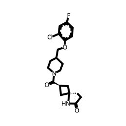 O=C1CC[C@]2(C[C@H](C(=O)N3CCC(COc4ccc(F)cc4Cl)CC3)C2)N1